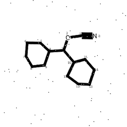 N#COC(C1CCCCC1)C1CCCCC1